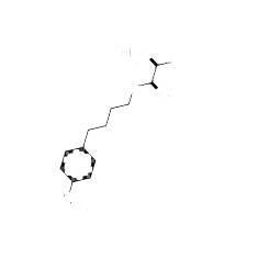 C=C(C)C(=O)OCCCCc1ccc(N)cc1